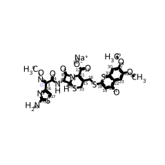 CO/N=C(\C(=O)N[C@@H]1C(=O)N2C(C(=O)[O-])=C(CSc3cc(=O)c4cc(OC)c(OC)cc4s3)CS[C@H]12)c1csc(N)n1.[Na+]